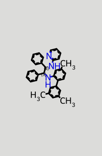 Cc1cc(C)cc(-c2ccc(C)cc2N[C@@H](c2ccccc2)[C@@H](Nc2ccccn2)c2ccccc2)c1